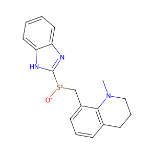 CN1CCCc2cccc(C[S+]([O-])c3nc4ccccc4[nH]3)c21